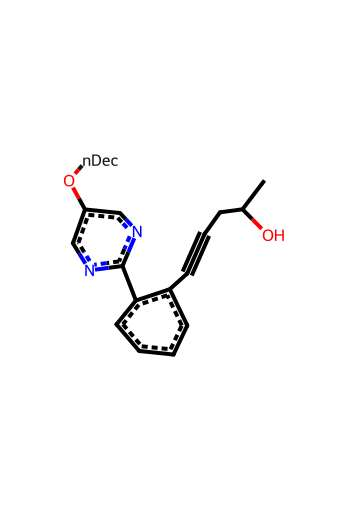 CCCCCCCCCCOc1cnc(-c2ccccc2C#CCC(C)O)nc1